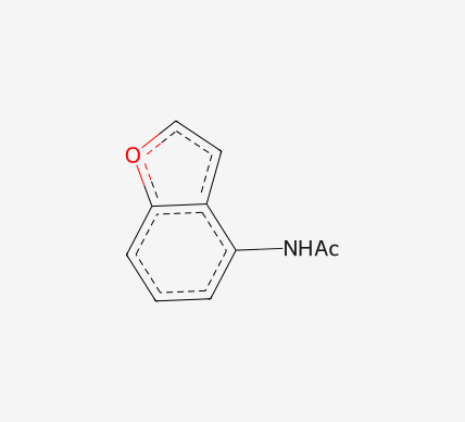 CC(=O)Nc1cccc2occc12